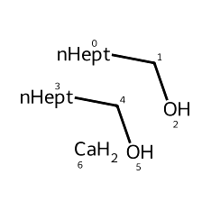 CCCCCCCCO.CCCCCCCCO.[CaH2]